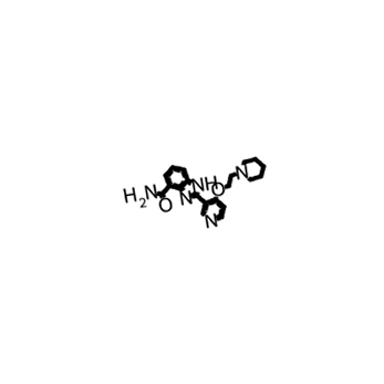 NC(=O)c1cccc2[nH]c(-c3cnccc3OCCN3CCCCC3)nc12